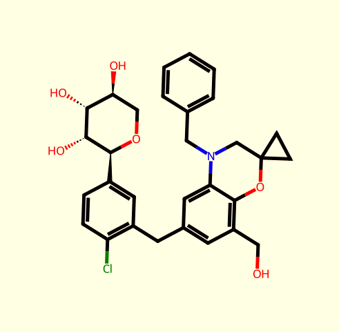 OCc1cc(Cc2cc([C@@H]3OC[C@H](O)[C@@H](O)[C@H]3O)ccc2Cl)cc2c1OC1(CC1)CN2Cc1ccccc1